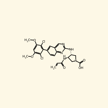 C=CC(=O)N[C@@H]1CN(C(=O)O)C[C@H]1Nc1ncc2cc(-c3c(Cl)c(OC)cc(OC)c3Cl)ccc2n1